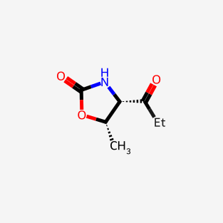 CCC(=O)[C@H]1NC(=O)O[C@H]1C